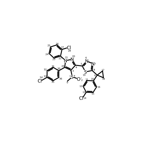 C[S+]([O-])c1c(-c2nnc(C3(c4ccc(Cl)cc4)CC3)s2)nn(-c2ccccc2Cl)c1-c1ccc(Cl)cc1